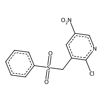 O=[N+]([O-])c1cnc(Cl)c(CS(=O)(=O)c2ccccc2)c1